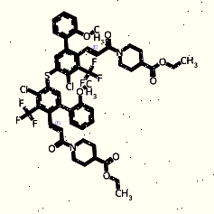 CCOC(=O)C1CCN(C(=O)/C=C/c2c(-c3ccccc3OC)cc(Sc3cc(-c4ccccc4OC)c(/C=C/C(=O)N4CCC(C(=O)OCC)CC4)c(C(F)(F)F)c3Cl)c(Cl)c2C(F)(F)F)CC1